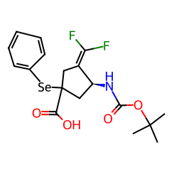 CC(C)(C)OC(=O)N[C@H]1CC([Se]c2ccccc2)(C(=O)O)CC1=C(F)F